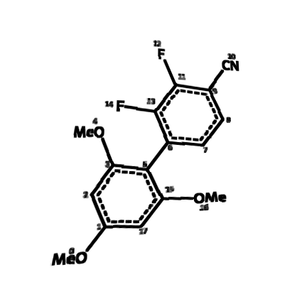 COc1cc(OC)c(-c2ccc(C#N)c(F)c2F)c(OC)c1